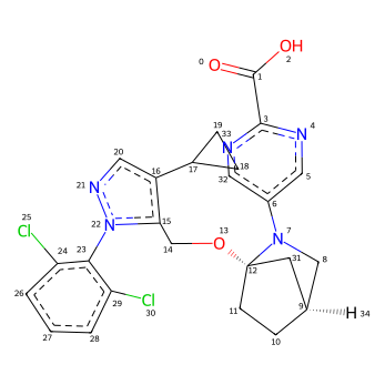 O=C(O)c1ncc(N2C[C@H]3CC[C@]2(OCc2c(C4CC4)cnn2-c2c(Cl)cccc2Cl)C3)cn1